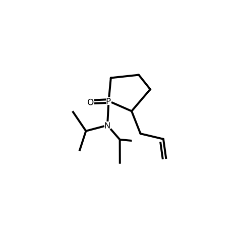 C=CCC1CCCP1(=O)N(C(C)C)C(C)C